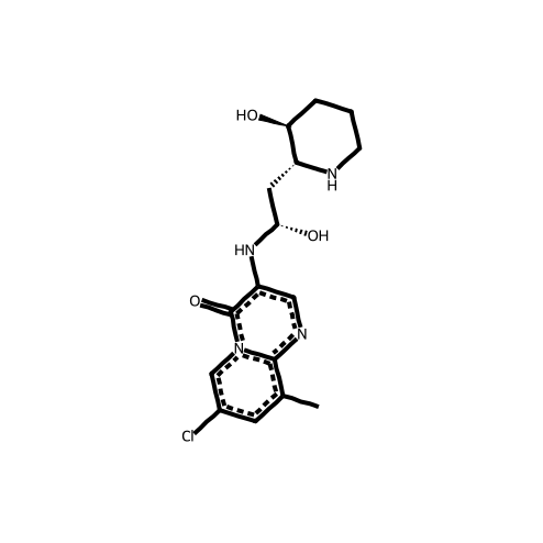 Cc1cc(Cl)cn2c(=O)c(N[C@@H](O)C[C@H]3NCCC[C@@H]3O)cnc12